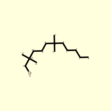 CCCCCC(C)(C)CCCC(C)(C)C[O]